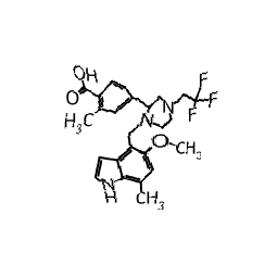 COc1cc(C)c2[nH]ccc2c1CN1CCN(CC(F)(F)F)CC1c1ccc(C(=O)O)c(C)c1